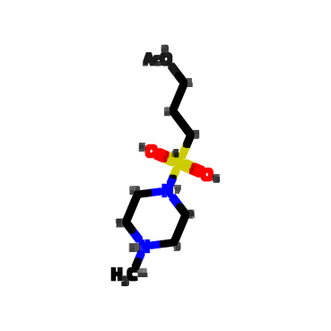 CC(=O)OCCCS(=O)(=O)N1CCN(C)CC1